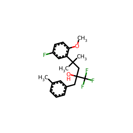 COc1ccc(F)cc1C(C)(C)CC(O)(Cc1cccc(C)c1)C(F)(F)F